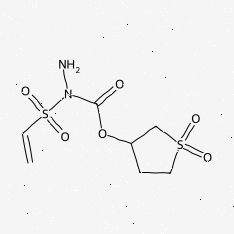 C=CS(=O)(=O)N(N)C(=O)OC1CCS(=O)(=O)C1